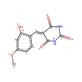 CCOc1ccc(C=C2C(=O)NC(=O)NC2=O)c(O)c1